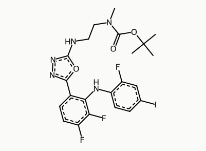 CN(CCNc1nnc(-c2ccc(F)c(F)c2Nc2ccc(I)cc2F)o1)C(=O)OC(C)(C)C